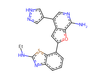 CCNc1nc2cccc(-c3cc4c(-c5cn[nH]c5)cnc(N)c4o3)c2s1